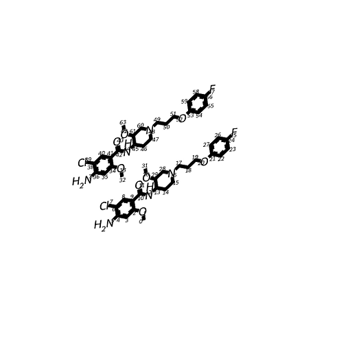 COc1cc(N)c(Cl)cc1C(=O)NC1CCN(CCCOc2ccc(F)cc2)CC1OC.COc1cc(N)c(Cl)cc1C(=O)NC1CCN(CCCOc2ccc(F)cc2)CC1OC